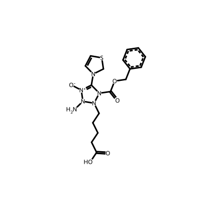 NN1N(CCCCC(=O)O)N(C(=O)OCc2ccccc2)C(N2C=CSC2)=[N+]1[O-]